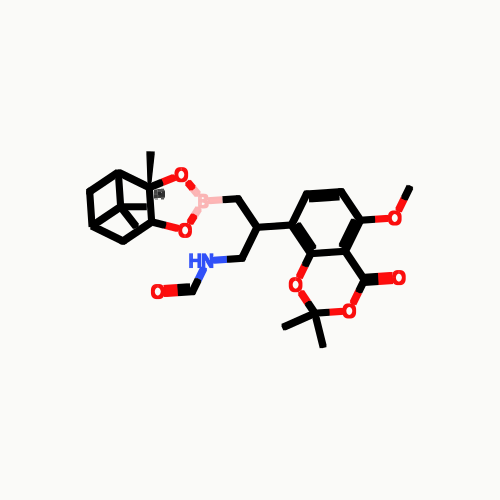 COc1ccc(C(CNC=O)CB2OC3CC4CC(C4(C)C)[C@]3(C)O2)c2c1C(=O)OC(C)(C)O2